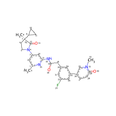 Cc1cc(N2CC[C@@](C)(C3CC3)C2=O)cc(NC(=O)Cc2cc(F)cc(-c3ccc(=O)n(C)c3)c2)n1